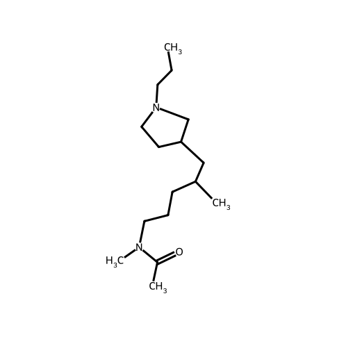 CCCN1CCC(CC(C)CCCN(C)C(C)=O)C1